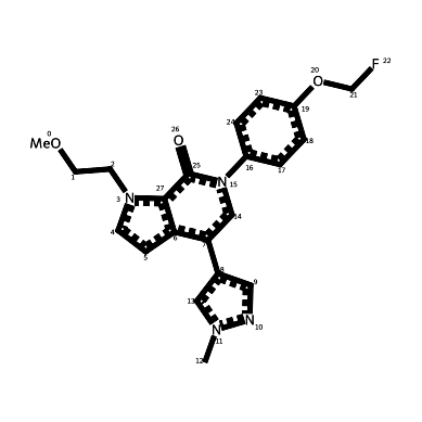 COCCn1ccc2c(-c3cnn(C)c3)cn(-c3ccc(OCF)cc3)c(=O)c21